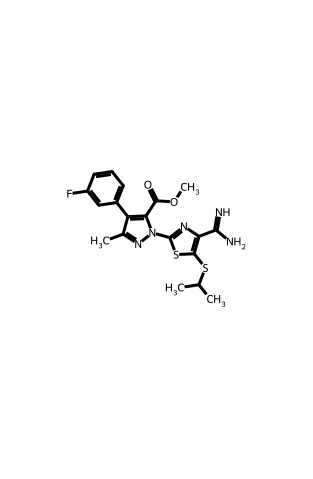 COC(=O)c1c(-c2cccc(F)c2)c(C)nn1-c1nc(C(=N)N)c(SC(C)C)s1